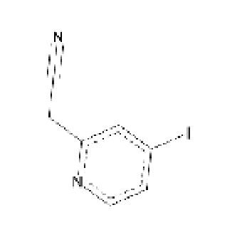 N#CCc1cc(I)ccn1